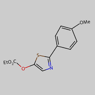 CCOC(=O)Oc1cnc(-c2ccc(OC)cc2)s1